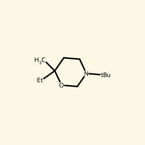 CCC1(C)CCN(C(C)(C)C)CO1